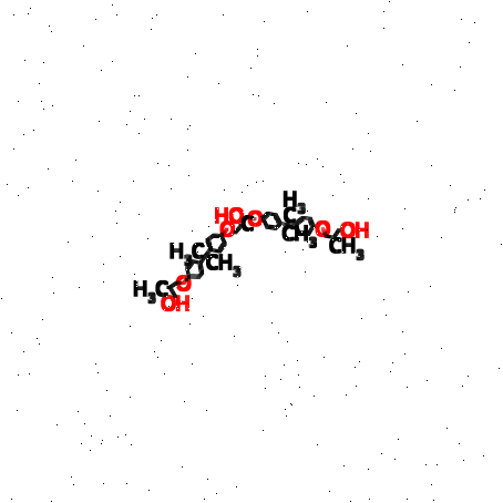 CC(CO)COc1ccc(C(C)(C)c2ccc(OCC(O)COc3ccc(C(C)(C)c4ccc(OCC(C)CO)cc4)cc3)cc2)cc1